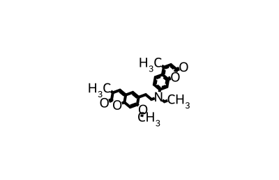 CCN(CCC1=CC2=CC(C)C(=O)OC2C=C1OC)c1ccc2c(C)cc(=O)oc2c1